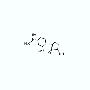 CO[C@@H]1C[C@H](N(C)C(C)C)CC[C@@H]1N1CCC(N)C1=O